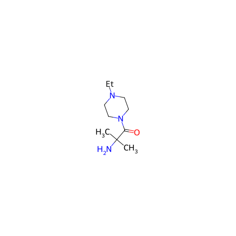 CCN1CCN(C(=O)C(C)(C)N)CC1